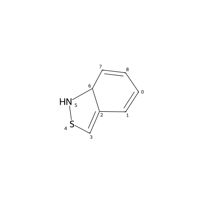 C1=CC2=CSNC2C=C1